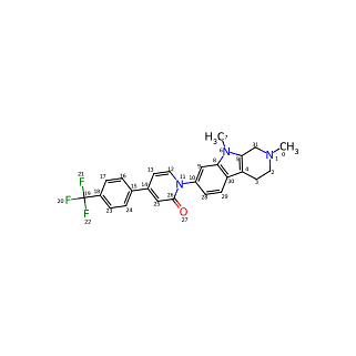 CN1CCc2c(n(C)c3cc(-n4ccc(-c5ccc(C(F)(F)F)cc5)cc4=O)ccc23)C1